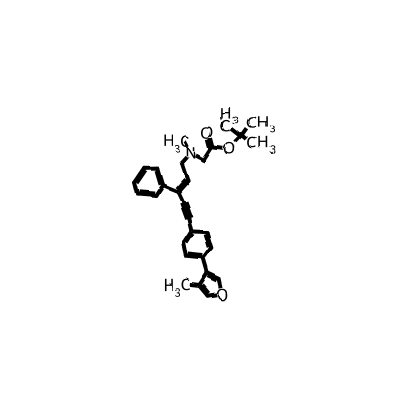 Cc1cocc1-c1ccc(C#CC(=CCN(C)CC(=O)OC(C)(C)C)c2ccccc2)cc1